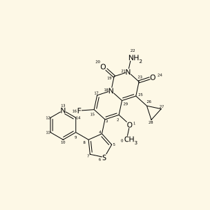 COc1c(-c2cscc2-c2cccnc2)c(F)cn2c(=O)n(N)c(=O)c(C3CC3)c12